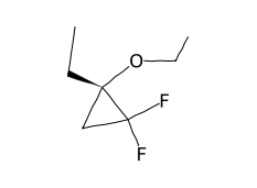 CCO[C@@]1(CC)CC1(F)F